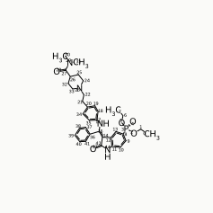 CCOP(=O)(OCC)c1ccc2c(c1)C(=C(Nc1ccc(CCN3CCC(C(=O)N(C)C)CC3)cc1)c1ccccc1)C(=O)N2